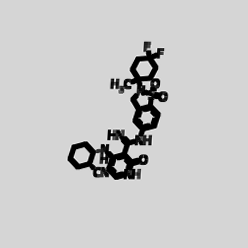 CC1(N2Cc3cc(NC(=N)c4c(N[C@H]5CCCC[C@@H]5C#N)cc[nH]c4=O)ccc3S2(=O)=O)CCC(F)(F)CC1